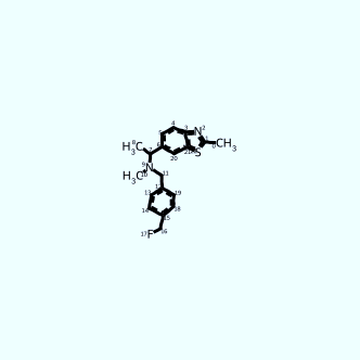 Cc1nc2ccc(C(C)N(C)Cc3ccc(CF)cc3)cc2s1